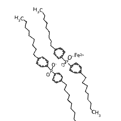 CCCCCCCCCc1ccc(P(=O)([O-])c2ccc(CCCCCCCCC)cc2)cc1.CCCCCCCCCc1ccc(P(=O)([O-])c2ccc(CCCCCCCCC)cc2)cc1.[Fe+2]